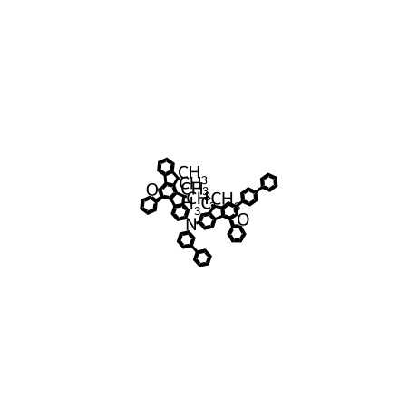 CC1(C)c2cc(N(c3cccc(-c4ccccc4)c3)c3ccc4c(c3)C(C)(C)c3c5c(c6oc7ccccc7c6c3-4)-c3ccccc3C5(C)C)ccc2-c2c1cc(-c1ccc(-c3ccccc3)cc1)c1oc3ccccc3c21